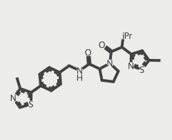 Cc1cc(C(C(=O)N2CCCC2C(=O)NCc2ccc(-c3scnc3C)cc2)C(C)C)ns1